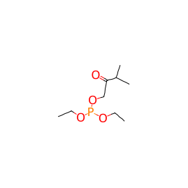 CCOP(OCC)OCC(=O)C(C)C